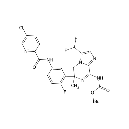 CC(C)(C)OC(=O)NC1=NC(C)(c2cc(NC(=O)c3ccc(Cl)cn3)ccc2F)Cn2c(C(F)F)cnc21